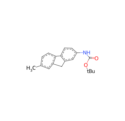 Cc1ccc2c(c1)Cc1cc(NC(=O)OC(C)(C)C)ccc1-2